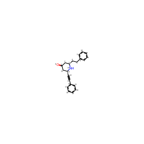 O=C1C[C@@H](CCc2ccccc2)N[C@@H](C#Cc2ccccc2)C1